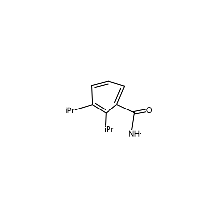 CC(C)c1cccc(C([NH])=O)c1C(C)C